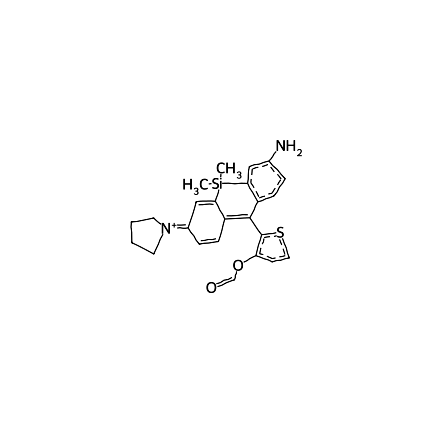 C[Si]1(C)C2=CC(=[N+]3CCCC3)C=CC2=C(c2sccc2OC=O)c2ccc(N)cc21